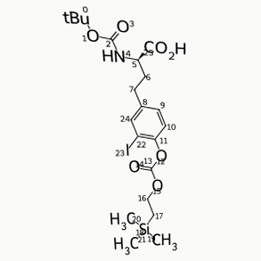 CC(C)(C)OC(=O)N[C@H](CCc1ccc(OC(=O)OCC[Si](C)(C)C)c(I)c1)C(=O)O